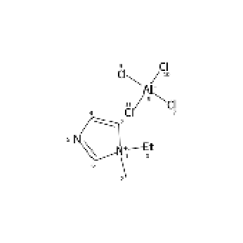 CC[N+]1(C)C=CN=C1.[Cl][Al-]([Cl])([Cl])[Cl]